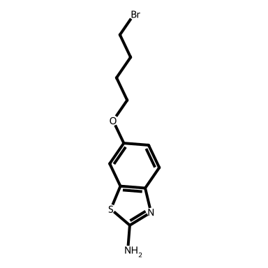 Nc1nc2ccc(OCCCCBr)cc2s1